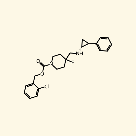 O=C(OCc1ccccc1Cl)N1CCC(F)(CN[C@@H]2C[C@H]2c2ccccc2)CC1